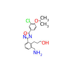 CC(C)Oc1ccc(-c2nc(-c3cccc(CN)c3CCCO)no2)cc1Cl